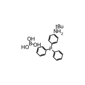 CC(C)(C)N.OB(O)O.c1ccc(P(c2ccccc2)c2ccccc2)cc1